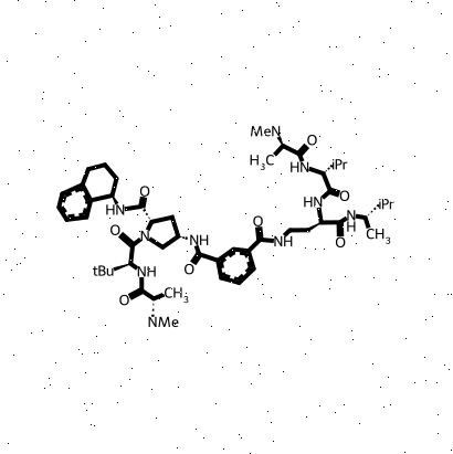 CN[C@@H](C)C(=O)N[C@H](C(=O)N1C[C@@H](NC(=O)c2cccc(C(=O)NCC[C@@H](NC(=O)[C@H](NC(=O)[C@@H](C)NC)C(C)C)C(=O)N[C@@H](C)C(C)C)c2)C[C@H]1C(=O)N[C@@H]1CCCc2ccccc21)C(C)(C)C